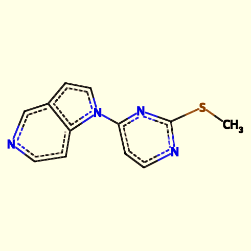 CSc1nccc(-n2ccc3cnccc32)n1